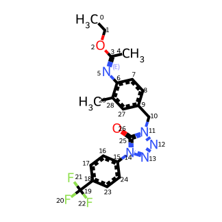 CCO/C(C)=N/c1ccc(Cn2nnn(-c3ccc(C(F)(F)F)cc3)c2=O)cc1C